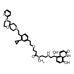 CN(CCNC[C@H](O)c1ccc(O)c2[nH]c(=O)ccc12)C(=O)CCOCCc1ccc(CCN2CCC3(CC2)CN(c2ccccn2)CCO3)c(C2CC2)c1